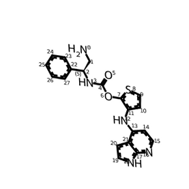 NC[C@@H](NC(=O)Oc1sccc1Nc1ccnc2[nH]ccc12)c1ccccc1